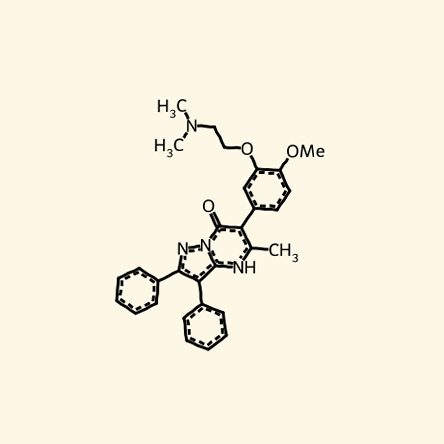 COc1ccc(-c2c(C)[nH]c3c(-c4ccccc4)c(-c4ccccc4)nn3c2=O)cc1OCCN(C)C